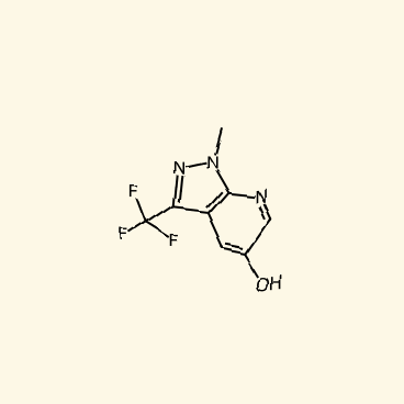 Cn1nc(C(F)(F)F)c2cc(O)cnc21